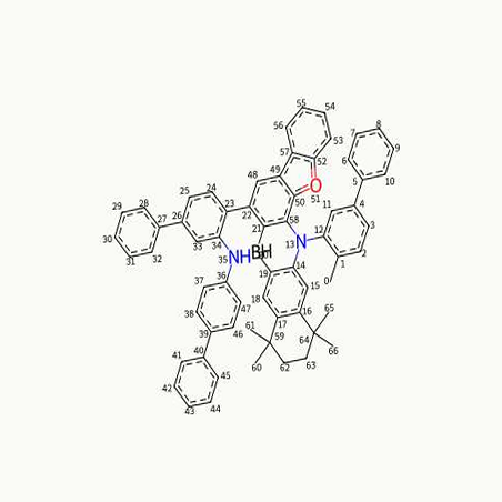 Cc1ccc(-c2ccccc2)cc1N1c2cc3c(cc2Bc2c(-c4ccc(-c5ccccc5)cc4Nc4ccc(-c5ccccc5)cc4)cc4c(oc5ccccc54)c21)C(C)(C)CCC3(C)C